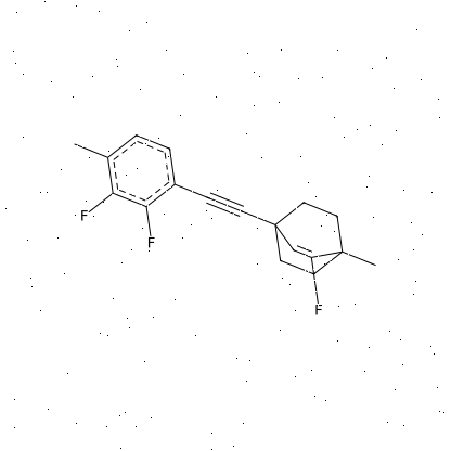 Cc1ccc(C#CC23C=C(F)C(C)(CC2)CC3)c(F)c1F